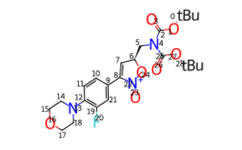 CC(C)(C)OC(=O)N(C[C@@H]1C=C(c2ccc(N3CCOCC3)c(F)c2)[N+](=O)O1)C(=O)OC(C)(C)C